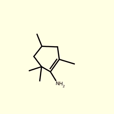 CC1=C(N)C(C)(C)CC(C)C1